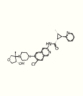 C[C@H]1[C@@H](C(=O)Nc2cc3cc(N4CCN([C@@]5(C)COC[C@H]5O)CC4)c(Cl)cc3cn2)[C@@H]1c1ccccn1